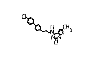 Cc1cc2c(NCCCc3ccc(-c4ccc(Cl)cc4)cc3)nc(Cl)nc2s1